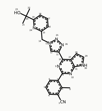 Cc1c(C#N)cccc1-c1nc(-c2cn(Cc3cccc(C(C)(C)O)n3)nn2)c2cc[nH]c2n1